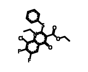 CCOC(=O)c1c(Sc2ccccc2)n(CC)c2c(Cl)c(F)c(F)cc2c1=O